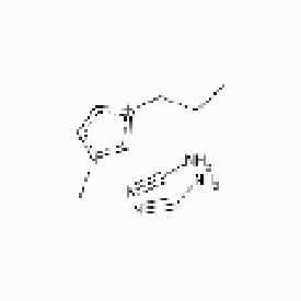 CCC[n+]1ccn(C)c1.N#CN.N#CN